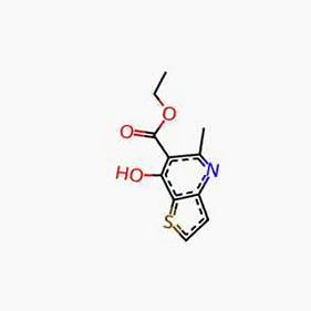 CCOC(=O)c1c(C)nc2ccsc2c1O